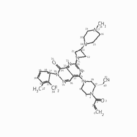 C=CC(=O)N1CCN(c2nc(N3CC(N4CCN(C)CC4)C3)nc3c(=O)n(-c4cccc(C)c4C(F)(F)F)ncc23)C[C@@H]1CC#N